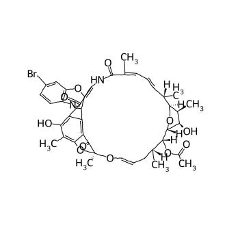 CC(=O)O[C@H]1[C@@H]2O[C@H]([C@@H](C)[C@H]2O)[C@@H](C)/C=C/C=C(/C)C(=O)Nc2c3oc4cc(Br)ccc4nc-3c3c4c(c(C)c(O)c3c2=O)O[C@](C)(O/C=C/C[C@H]1C)C4=O